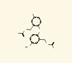 Br.Br.COc1ccc(Sc2ccc(F)cc2CSC(=N)N)c(CSC(=N)N)c1